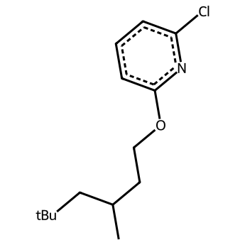 CC(CCOc1cccc(Cl)n1)CC(C)(C)C